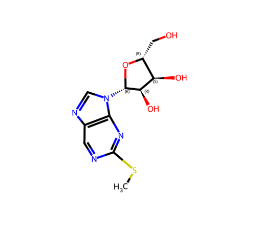 CSc1ncc2ncn([C@@H]3O[C@H](CO)[C@@H](O)[C@H]3O)c2n1